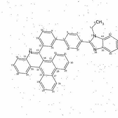 CCn1c(-c2ccc(-c3cccc(-c4nc5ccccc5c5c6ccccc6c6ccccc6c45)c3)cc2)nc2ccccc21